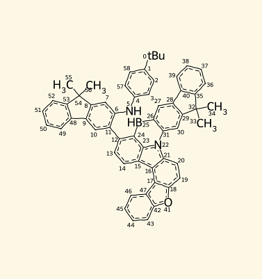 CC(C)(C)c1ccc(Nc2cc3c(cc2-c2ccc4c5c6c(ccc5n5c4c2Bc2cc4c(cc2-5)C(C)(C)c2ccccc2-4)oc2ccccc26)-c2ccccc2C3(C)C)cc1